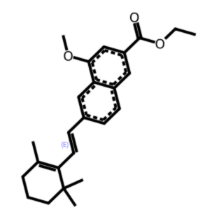 CCOC(=O)c1cc(OC)c2cc(/C=C/C3=C(C)CCCC3(C)C)ccc2c1